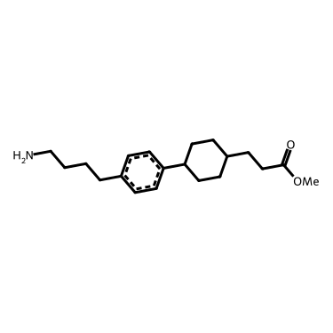 COC(=O)CCC1CCC(c2ccc(CCCCN)cc2)CC1